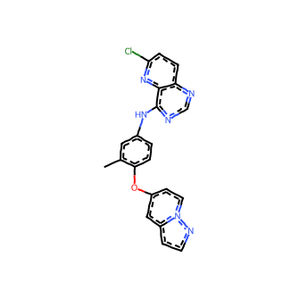 Cc1cc(Nc2ncnc3ccc(Cl)nc23)ccc1Oc1ccn2nccc2c1